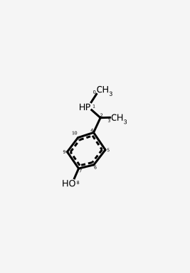 CPC(C)c1ccc(O)cc1